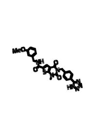 COc1cccc(CNC(=O)c2cc3c(=O)n(Cc4ccc(-c5nnn[nH]5)cc4)c(=O)n(C)c3s2)c1